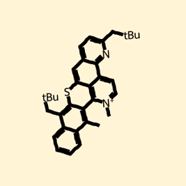 Cc1c2c(c(CC(C)(C)C)c3ccccc13)Sc1cc3ccc(CC(C)(C)C)nc3c3cc[n+](C)c-2c13